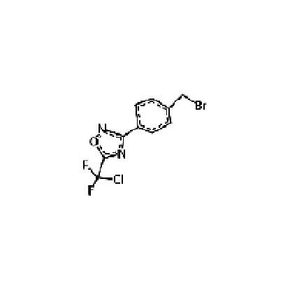 FC(F)(Cl)c1nc(-c2ccc(CBr)cc2)no1